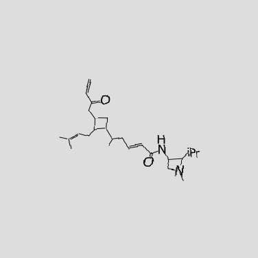 C=CC(=O)CC1CC(C(C)C/C=C/C(=O)NC2CN(C)C2C(C)C)C1CC=C(C)C